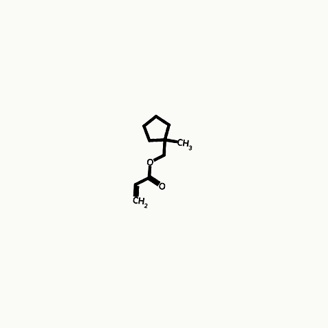 C=CC(=O)OCC1(C)CCCC1